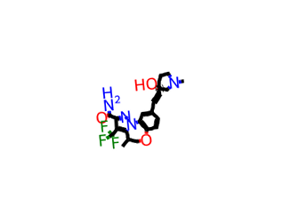 CC1COc2ccc(C#C[C@]3(O)CCN(C)C3)cc2-n2nc(C(N)=O)c(C(F)(F)F)c21